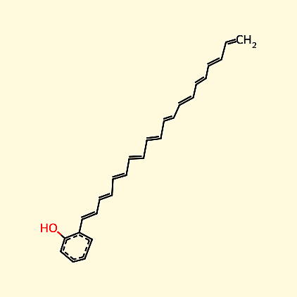 C=CC=CC=CC=CC=CC=CC=CC=CC=CC=Cc1ccccc1O